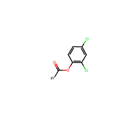 CC(C)C(=O)Oc1ccc(Cl)cc1Cl